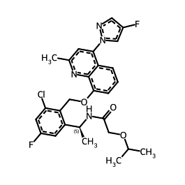 Cc1cc(-n2cc(F)cn2)c2cccc(OCc3c(Cl)cc(F)cc3[C@H](C)NC(=O)COC(C)C)c2n1